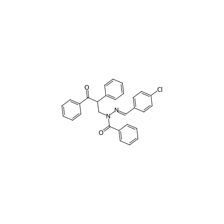 O=C(c1ccccc1)C(CN(N=Cc1ccc(Cl)cc1)C(=O)c1ccccc1)c1ccccc1